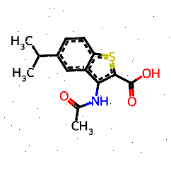 CC(=O)Nc1c(C(=O)O)sc2ccc(C(C)C)cc12